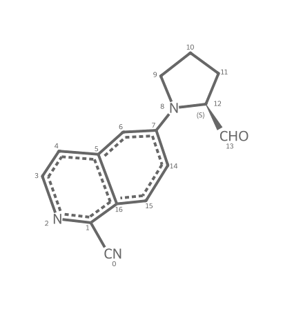 N#Cc1nccc2cc(N3CCC[C@H]3C=O)ccc12